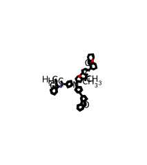 C=Cc1oc2ccccc2c1/C=C(\C)c1ccc(N(C2=CC3=C(CC2)C2=CC=C(C4=c5oc6c(c5=CCC4)C=CCC6)CC2C3(C)C)c2ccc(-c3ccc4oc5ccccc5c4c3)cc2)cc1